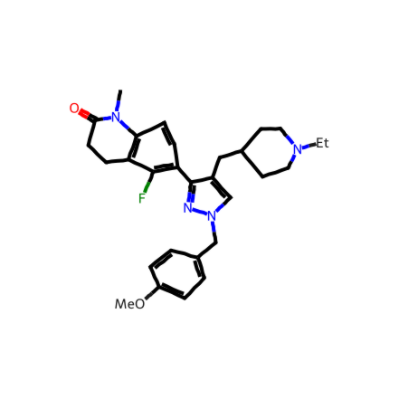 CCN1CCC(Cc2cn(Cc3ccc(OC)cc3)nc2-c2ccc3c(c2F)CCC(=O)N3C)CC1